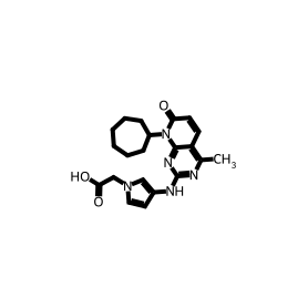 Cc1nc(Nc2ccn(CC(=O)O)c2)nc2c1ccc(=O)n2C1CCCCCC1